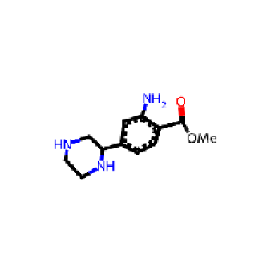 COC(=O)c1ccc(C2CNCCN2)cc1N